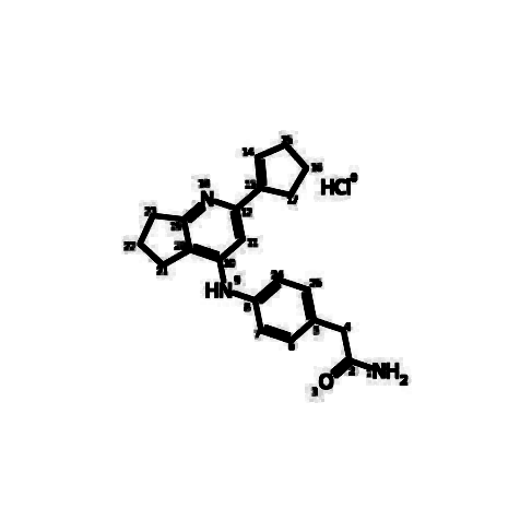 Cl.NC(=O)Cc1ccc(Nc2cc(C3=CCCC3)nc3c2CCC3)cc1